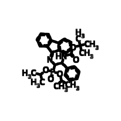 CC(C)OP(=O)(OC(C)C)C(N=C1c2ccccc2-c2ccccc21)C(NC(=O)OC(C)(C)C)c1ccccc1